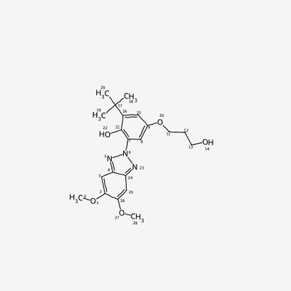 COc1cc2nn(-c3cc(OCCCO)cc(C(C)(C)C)c3O)nc2cc1OC